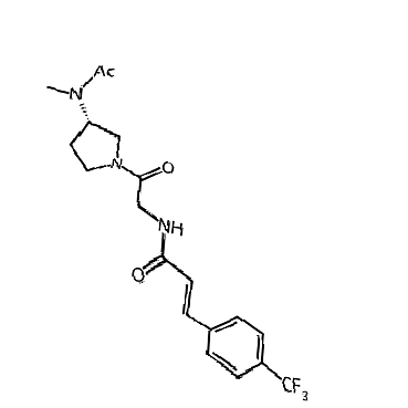 CC(=O)N(C)[C@H]1CCN(C(=O)CNC(=O)/C=C/c2ccc(C(F)(F)F)cc2)C1